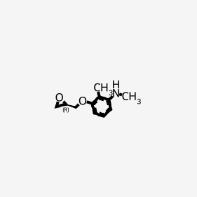 CNc1cccc(OC[C@H]2CO2)c1C